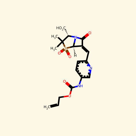 C=CCOC(=O)Nc1ccc(/C=C2/C(=O)N3[C@@H](C(=O)O)C(C)(C)S(=O)(=O)[C@H]23)nc1